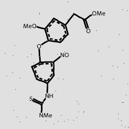 CNC(=S)Nc1ccc(Oc2ccc(CC(=O)OC)cc2OC)c(N=O)c1